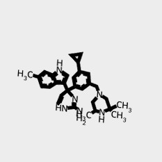 Cc1ccc2c(C3(c4cc(CN5CC(C)NC(C)(C)C5)cc(C5CC5)c4)C=CNC(N)=N3)c[nH]c2c1